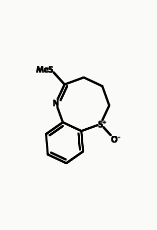 CSC1=Nc2ccccc2[S+]([O-])CCC1